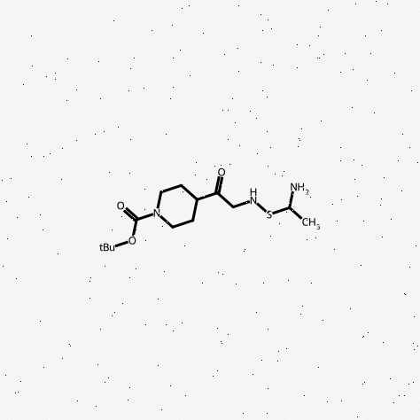 CC(N)SNCC(=O)C1CCN(C(=O)OC(C)(C)C)CC1